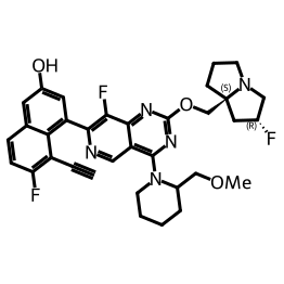 C#Cc1c(F)ccc2cc(O)cc(-c3ncc4c(N5CCCCC5COC)nc(OC[C@@]56CCCN5C[C@H](F)C6)nc4c3F)c12